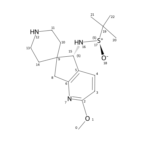 COc1ccc2c(n1)CC1(CCNCC1)[C@@H]2N[S@+]([O-])C(C)(C)C